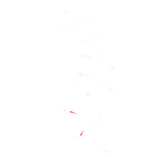 NC1(Cc2ccc3c(c2)OCO3)N=CN=C2C1=NCN2[C@@H]1O[C@H](CO)[C@@H](O)[C@H]1O